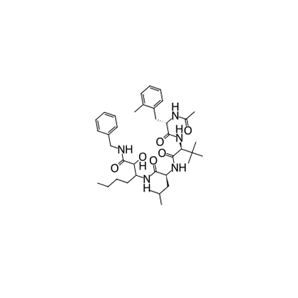 CCCCC(NC(=O)[C@H](CC(C)C)NC(=O)[C@@H](NC(=O)[C@H](Cc1ccccc1C)NC(C)=O)C(C)(C)C)C(O)C(=O)NCc1ccccc1